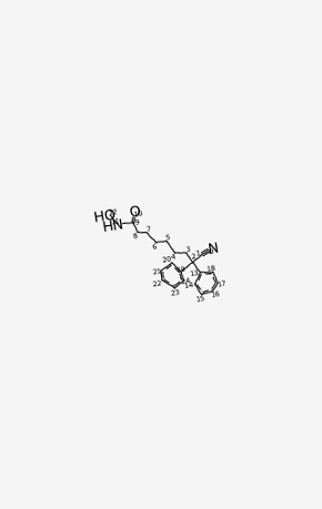 N#CC(CCCCCCC(=O)NO)(c1ccccc1)c1ccccc1